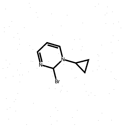 BrC1N=CC=CN1C1CC1